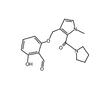 Cn1ccc(COc2cccc(O)c2C=O)c1C(=O)N1CCCC1